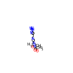 CC1=C(N(C=O)C(C)CN(C)C2CCN(CCc3ccc(-n4cnnn4)nc3)CC2)COC1=O